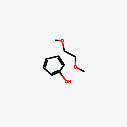 COCCOC.Oc1ccccc1